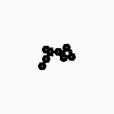 c1ccc(-c2ccc(-c3nc(-c4ccc5c(c4)c4cccc6c7ccccc7oc7ccccc7n5c64)nc4ccccc34)cc2)cc1